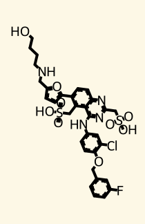 O=S(=O)(O)Cc1nc(Nc2ccc(OCc3cccc(F)c3)c(Cl)c2)c2c(CS(=O)(=O)O)c(-c3ccc(CNCCCCO)o3)ccc2n1